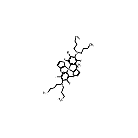 CCCCN(CCCC)c1c(F)c(F)[c]([Ti]([C]2=C(C)C=CC2)([C]2=C(C)C=CC2)[c]2c(F)c(F)c(N(CCCC)CCCC)c(F)c2F)c(F)c1F